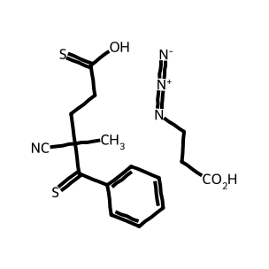 CC(C#N)(CCC(O)=S)C(=S)c1ccccc1.[N-]=[N+]=NCCC(=O)O